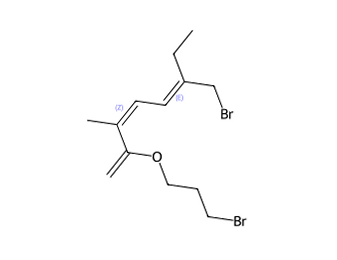 C=C(OCCCBr)/C(C)=C\C=C(/CC)CBr